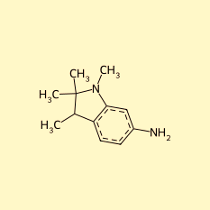 CC1c2ccc(N)cc2N(C)C1(C)C